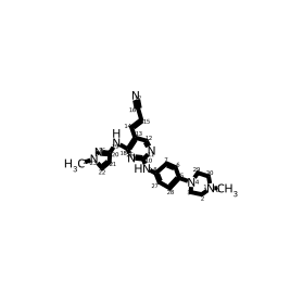 CN1CCN(c2ccc(Nc3ncc(C=CC#N)c(Nc4ccn(C)n4)n3)cc2)CC1